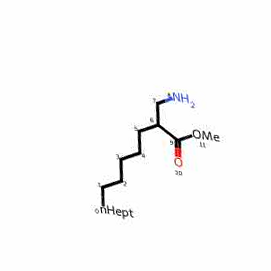 CCCCCCCCCCCCC(CN)C(=O)OC